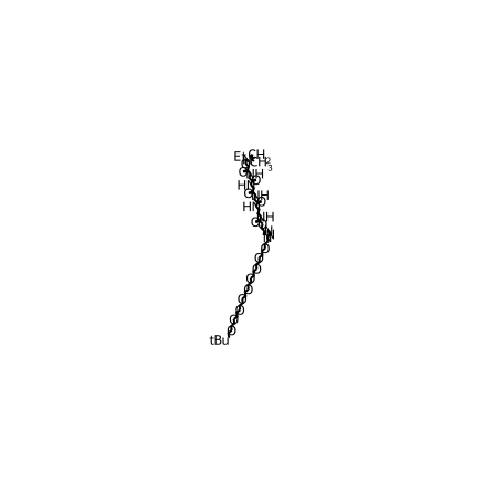 C=C(C)N(CC)OCC(=O)NCC(=O)NCC(=O)NCC(=O)NCCNC(=O)OCc1cn(CCOCCOCCOCCOCCOCCOCCOCCOCCOCCC(C)(C)C)nn1